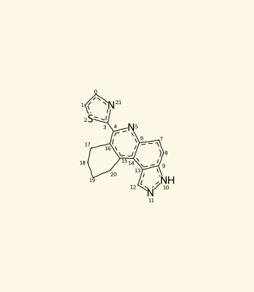 c1csc(-c2nc3ccc4[nH]ncc4c3c3c2CCCC3)n1